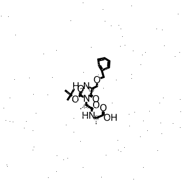 C[C@H](NC(=O)[C@H](C)N(C(=O)OC(C)(C)C)C(=O)[C@@H](N)COCc1ccccc1)C(=O)O